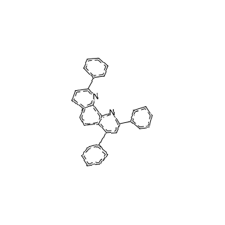 c1ccc(-c2ccc3ccc4c(-c5ccccc5)cc(-c5ccccc5)nc4c3n2)cc1